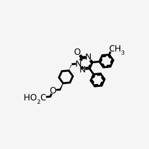 Cc1cccc(-c2nc(=O)n(C[C@H]3CC[C@H](COCC(=O)O)CC3)nc2-c2ccccc2)c1